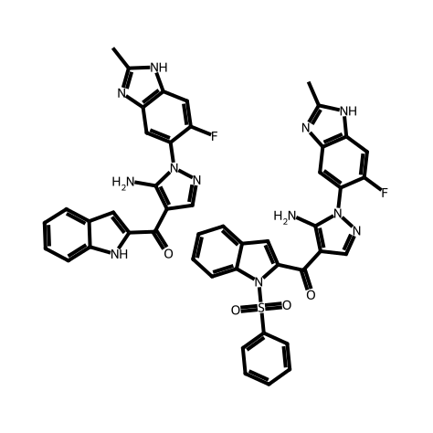 Cc1nc2cc(-n3ncc(C(=O)c4cc5ccccc5[nH]4)c3N)c(F)cc2[nH]1.Cc1nc2cc(-n3ncc(C(=O)c4cc5ccccc5n4S(=O)(=O)c4ccccc4)c3N)c(F)cc2[nH]1